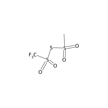 CS(=O)(=O)SS(=O)(=O)C(F)(F)F